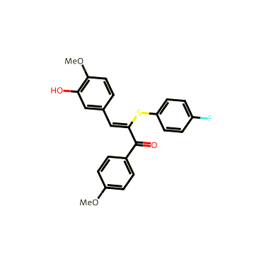 COc1ccc(C(=O)C(=Cc2ccc(OC)c(O)c2)Sc2ccc(F)cc2)cc1